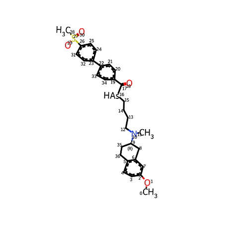 COc1ccc2c(c1)C[C@H](N(C)CCCC[AsH]C(=O)c1ccc(-c3ccc(S(C)(=O)=O)cc3)cc1)CC2